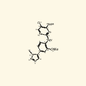 CNc1nc(Nc2ccc(-c3cnnn3C)cc2OC)ncc1Cl